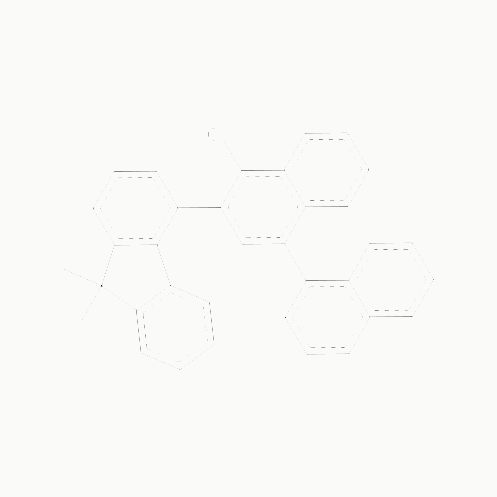 CC1(C)c2ccccc2-c2c(-c3cc(-c4cccc5ccccc45)c4ccccc4c3Cl)cccc21